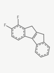 Fc1ccc2c(c1F)CC1=C2c2ccccc2C1